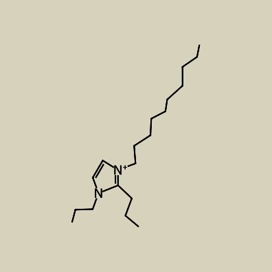 CCCCCCCCCC[n+]1ccn(CCC)c1CCC